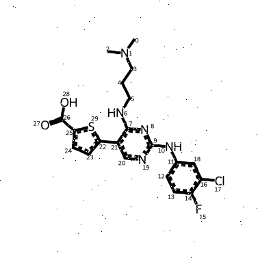 CN(C)CCCNc1nc(Nc2ccc(F)c(Cl)c2)ncc1-c1ccc(C(=O)O)s1